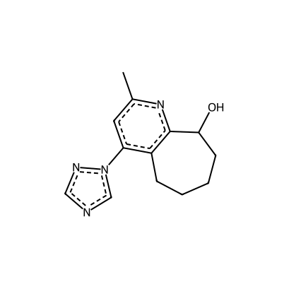 Cc1cc(-n2cncn2)c2c(n1)C(O)CCCC2